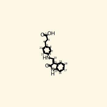 O=C(O)CCc1ccc(N/C=C2\C(=O)Nc3ccccc32)cc1